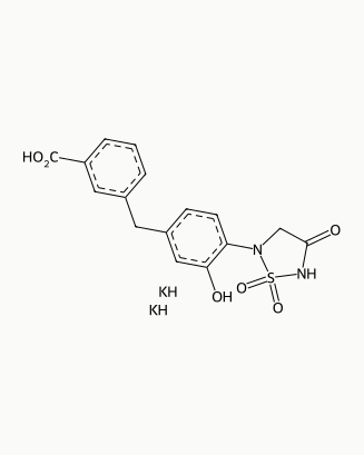 O=C1CN(c2ccc(Cc3cccc(C(=O)O)c3)cc2O)S(=O)(=O)N1.[KH].[KH]